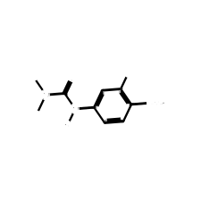 CSc1ccc(N(N)C(=O)N(C)C)cc1Cl